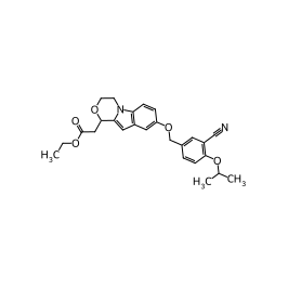 CCOC(=O)CC1OCCn2c1cc1cc(OCc3ccc(OC(C)C)c(C#N)c3)ccc12